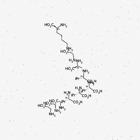 CC(C)[C@H](N)C(=O)O.CC(C)[C@H](N)C(=O)O.CC(C)[C@H](N)C(=O)O.CC(C)[C@H](N)C(=O)O.C[C@H](N)C(=O)O.NCC(=O)O.NCC(=O)O.NCC(=O)O.NCC(=O)O.NCCCC[C@H](N)C(=O)O